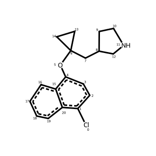 Clc1ccc(OC2(CC3CCNC3)CC2)c2ccccc12